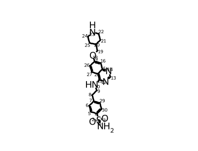 NS(=O)(=O)c1ccc(CCNc2ncnc3cc(OCC4CCNCC4)ccc23)cc1